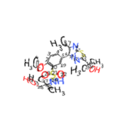 COc1ccc(-c2c(C)nc3sc(C(C)(C)O)nn23)cc1S(=O)(=O)NC(C)(C)CO